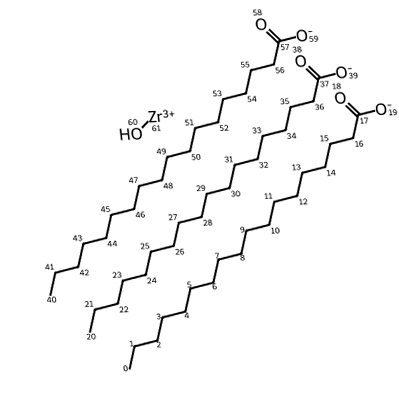 CCCCCCCCCCCCCCCCCC(=O)[O-].CCCCCCCCCCCCCCCCCC(=O)[O-].CCCCCCCCCCCCCCCCCC(=O)[O-].[OH][Zr+3]